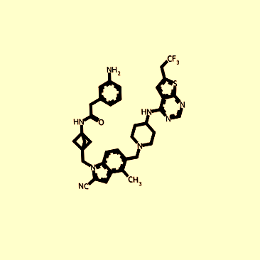 Cc1c(CN2CCC(Nc3ncnc4sc(CC(F)(F)F)cc34)CC2)ccc2c1cc(C#N)n2CC12CC(NC(=O)Cc3cccc(N)c3)(C1)C2